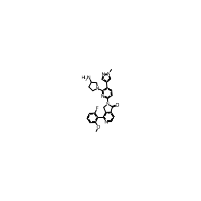 COc1cccc(F)c1-c1nccc2c1CN(c1ccc(-c3cnn(C)c3)c(N3CCC(N)C3)n1)C2=O